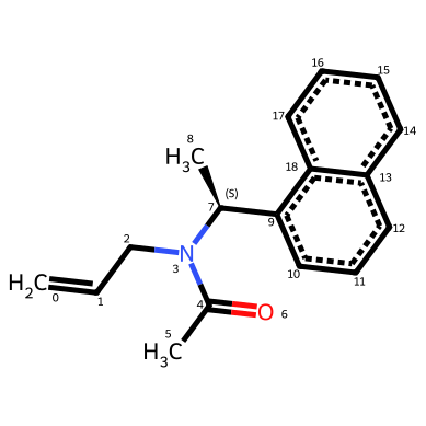 C=CCN(C(C)=O)[C@@H](C)c1cccc2ccccc12